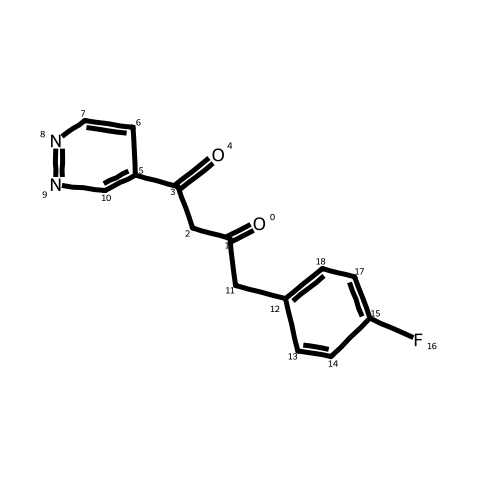 O=C(CC(=O)c1ccnnc1)Cc1ccc(F)cc1